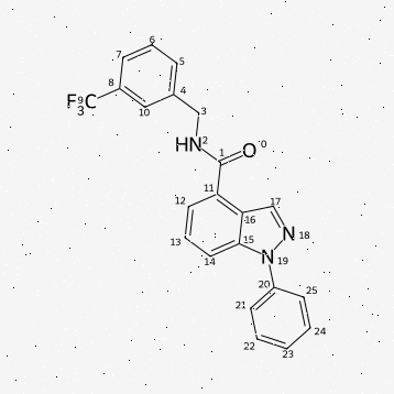 O=C(NCc1cccc(C(F)(F)F)c1)c1cccc2c1cnn2-c1ccccc1